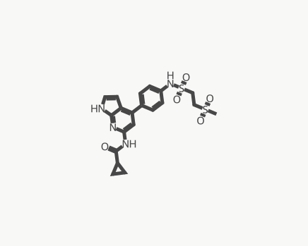 CS(=O)(=O)CCS(=O)(=O)Nc1ccc(-c2cc(NC(=O)C3CC3)nc3[nH]ccc23)cc1